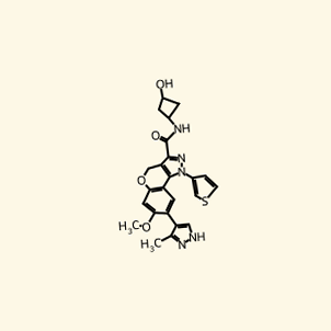 COc1cc2c(cc1-c1c[nH]nc1C)-c1c(c(C(=O)NC3CC(O)C3)nn1-c1ccsc1)CO2